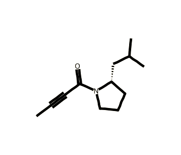 CC#CC(=O)N1CCC[C@H]1CC(C)C